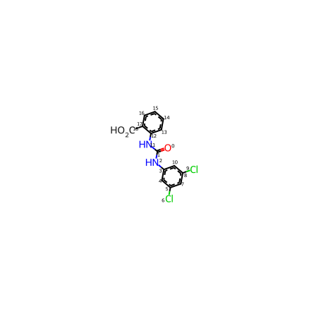 O=C(Nc1cc(Cl)cc(Cl)c1)Nc1ccccc1C(=O)O